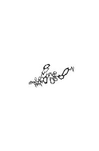 CCCCN(CCCC)C(=O)c1nn(-c2ccc(C(=O)NS(=O)(=O)c3ccc4cc(N(C)C)ccc4c3)cc2C(=O)N2CCc3ccccc3C2)c(C)c1Cl